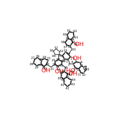 Oc1c(Cc2ccc3ccccc3c2O)cc(C2(c3cc(Cc4ccc5ccccc5c4O)c(O)c(Cc4ccc5ccccc5c4O)c3)CCCC2)cc1Cc1ccc2ccccc2c1O